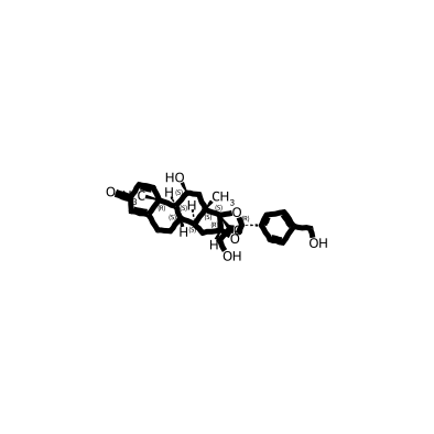 C[C@]12C=CC(=O)C=C1CC[C@@H]1[C@@H]2[C@@H](O)C[C@@]2(C)[C@H]1C[C@H]1O[C@@H](c3ccc(CO)cc3)O[C@]12C(=O)CO